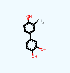 Cc1cc(-c2ccc(O)c(O)c2)ccc1O